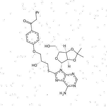 CC(C)CC(=O)c1ccc(OC[C@@H](O)CSc2nc3c(N)ncnc3n2[C@@H]2O[C@H](CO)[C@H]3OC(C)(C)O[C@H]32)cc1